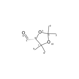 CC1(C)O[C@@H](C=O)C(C)(C)O1